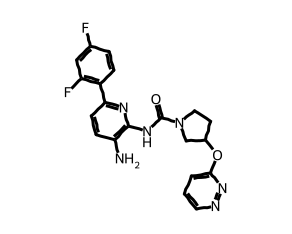 Nc1ccc(-c2ccc(F)cc2F)nc1NC(=O)N1CCC(Oc2cccnn2)C1